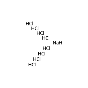 Cl.Cl.Cl.Cl.Cl.Cl.Cl.Cl.[NaH]